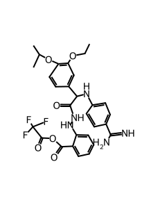 CCOc1cc(C(Nc2ccc(C(=N)N)cc2)C(=O)NNc2ccccc2C(=O)OC(=O)C(F)(F)F)ccc1OC(C)C